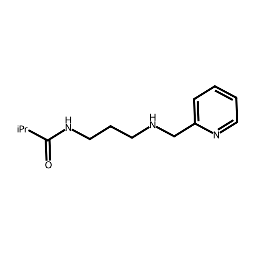 CC(C)C(=O)NCCCNCc1ccccn1